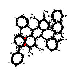 Oc1c(O)c(O)c2c(-c3cccc4oc5cc6ccccc6cc5c34)c3c(O)c(O)c(O)c(O)c3c(-c3ccccc3-c3ccc(-c4ccccc4)cc3)c2c1O